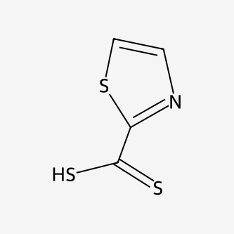 S=C(S)c1nccs1